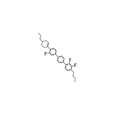 CCCCc1ccc(-c2ccc(-c3ccc(C4=CCC(CCC)CC4)c(F)c3)cc2)c(F)c1F